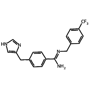 NC(=NCc1ccc(C(F)(F)F)cc1)c1ccc(Cc2c[nH]cn2)cc1